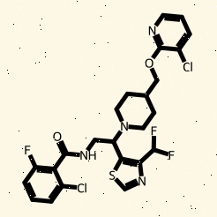 O=C(NCC(c1scnc1C(F)F)N1CCC(COc2ncccc2Cl)CC1)c1c(F)cccc1Cl